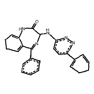 O=C1NC2=CCCC=C2C(c2ccccc2)=NC1Nc1ccc(C2=CCCC=C2)nn1